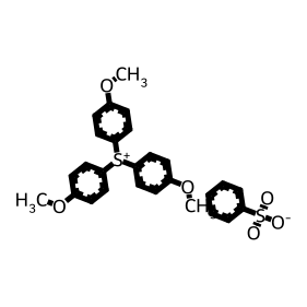 COc1ccc([S+](c2ccc(OC)cc2)c2ccc(OC)cc2)cc1.O=S(=O)([O-])c1ccccc1